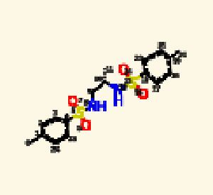 Cc1ccc(S(=O)(=O)NC[C@H](C)NS(=O)(=O)c2ccc(C)cc2)cc1